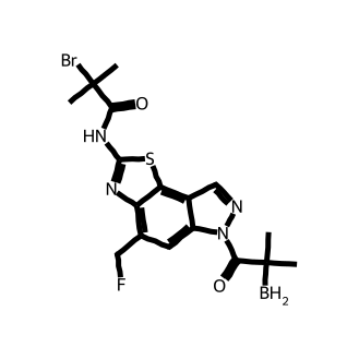 BC(C)(C)C(=O)n1ncc2c3sc(NC(=O)C(C)(C)Br)nc3c(CF)cc21